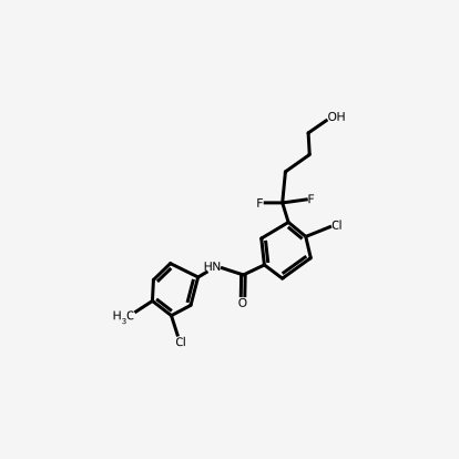 Cc1ccc(NC(=O)c2ccc(Cl)c(C(F)(F)CCCO)c2)cc1Cl